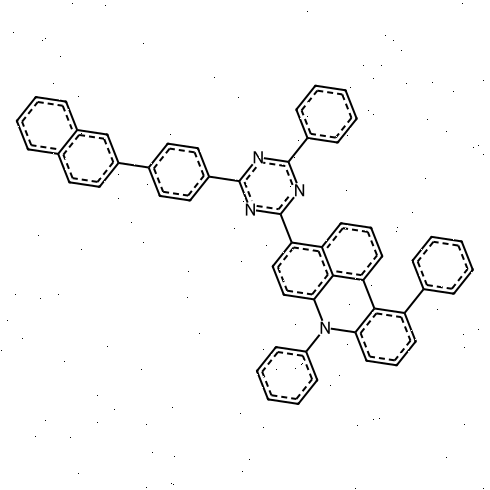 c1ccc(-c2nc(-c3ccc(-c4ccc5ccccc5c4)cc3)nc(-c3ccc4c5c(cccc35)-c3c(-c5ccccc5)cccc3N4c3ccccc3)n2)cc1